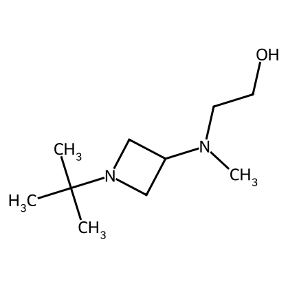 CN(CCO)C1CN(C(C)(C)C)C1